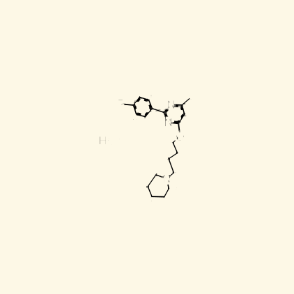 Cc1cc(OCCCCN2CCCCC2)nc(-c2ccc(F)cc2)n1.Cl